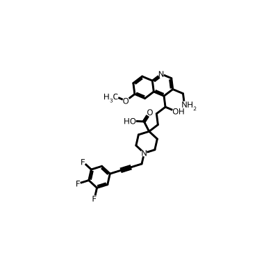 COc1ccc2ncc(CN)c(C(O)CCC3(C(=O)O)CCN(CC#Cc4cc(F)c(F)c(F)c4)CC3)c2c1